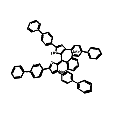 COc1cccc(OC)c1/C(=C1/N=C(c2ccc(-c3ccccc3)cc2)C=C1c1ccc(-c2ccccc2)cc1)c1[nH]c(-c2ccc(-c3ccccc3)cc2)cc1-c1ccc(-c2ccccc2)cc1